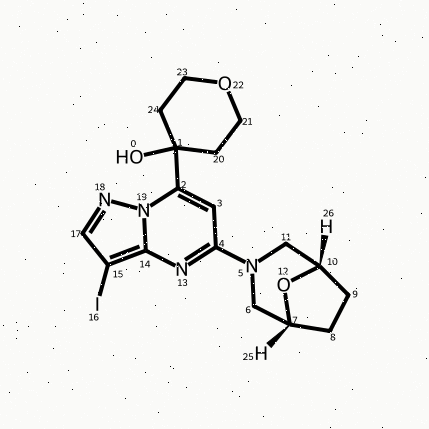 OC1(c2cc(N3C[C@H]4CC[C@@H](C3)O4)nc3c(I)cnn23)CCOCC1